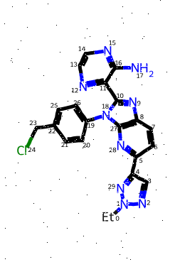 CCn1ncc(-c2ccc3nc(-c4nccnc4N)n(-c4ccc(CCl)cc4)c3n2)n1